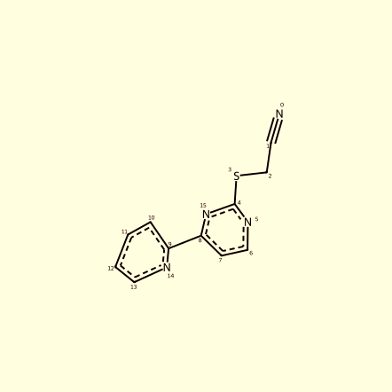 N#CCSc1nccc(-c2ccccn2)n1